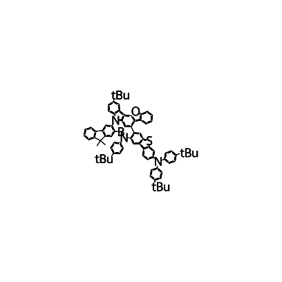 CC(C)(C)c1ccc(N2B3c4cc5c(cc4-n4c6ccc(C(C)(C)C)cc6c6c7oc8ccccc8c7c(c3c64)-c3cc4sc6cc(N(c7ccc(C(C)(C)C)cc7)c7ccc(C(C)(C)C)cc7)ccc6c4cc32)-c2ccccc2C5(C)C)cc1